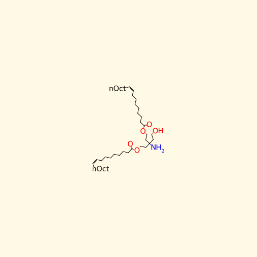 CCCCCCCC/C=C\CCCCCCCC(=O)OCCC(N)(CCO)CCOC(=O)CCCCCCC/C=C\CCCCCCCC